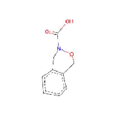 O=C(O)N1Cc2ccccc2CO1